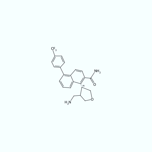 NCC1COC[C@H]1c1c(C(N)=O)ccc2c(-c3ccc(C(F)(F)F)cc3)cccc12